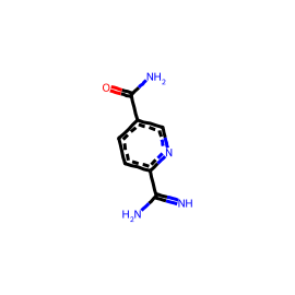 N=C(N)c1ccc(C(N)=O)cn1